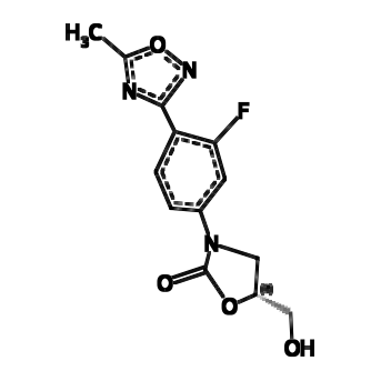 Cc1nc(-c2ccc(N3C[C@H](CO)OC3=O)cc2F)no1